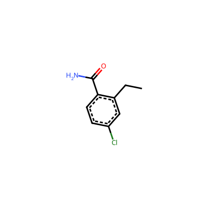 CCc1cc(Cl)ccc1C(N)=O